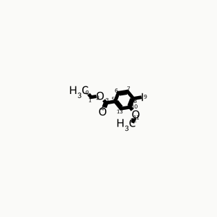 CCOC(=O)c1ccc(I)c(OC)c1